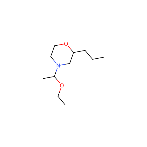 CCCC1CN(C(C)OCC)CCO1